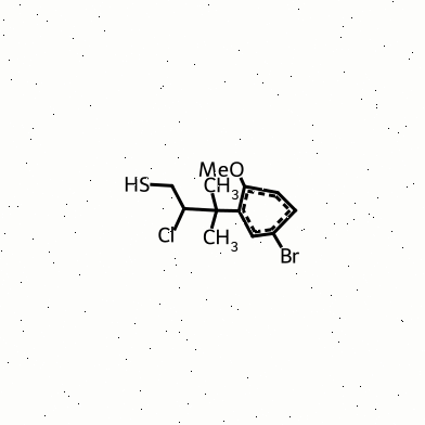 COc1ccc(Br)cc1C(C)(C)C(Cl)CS